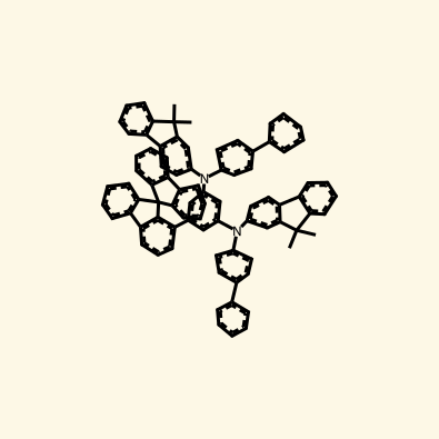 CC1(C)c2ccccc2-c2ccc(N(c3ccc(-c4ccccc4)cc3)c3cc(-c4cccc5c4C4(c6ccccc6-c6ccccc64)c4ccccc4-5)cc(N(c4ccc(-c5ccccc5)cc4)c4ccc5c(c4)C(C)(C)c4ccccc4-5)c3)cc21